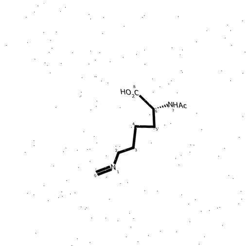 C=NCCCC[C@@H](NC(C)=O)C(=O)O